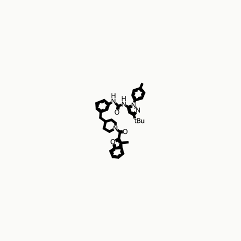 Cc1ccc(-n2nc(C(C)(C)C)cc2NC(=O)Nc2cccc(CC3CCN(C(=O)c4oc5ccccc5c4C)CC3)c2)cc1